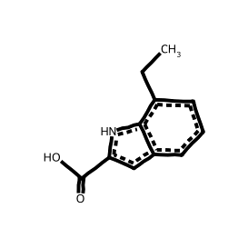 CCc1cccc2cc(C(=O)O)[nH]c12